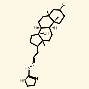 C[C@]12CC[C@H](O)C[C@H]1CC[C@@H]1[C@@H]2CC[C@]2(C)[C@@H](C/C=N/NC3=NCCN3)CC[C@]12O